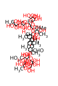 CCC(OC1OCCC(OC(O)/C(O)=C(/O)C(C)O)C1O)/C(OC1CC(O)(O)C(O)C(CO)O1)=C(\O)C(O)OC1C(OC(=O)[C@]23CCC(C)(C)CC2C2=CCC4[C@@]5(C)CC[C@H](OC(O)C(OC(O)/C(O)=C(/O)C(O)CCO)C(OC(O)C(O)C(O)[C@H](C)O)C(O)CC(=O)O)[C@@](C)(C=O)C5CC[C@@]4(C)[C@]2(C)C[C@H]3O)OC(C)C(O)C1OC